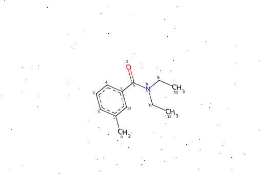 [CH2]c1cccc(C(=O)N(CC)CC)c1